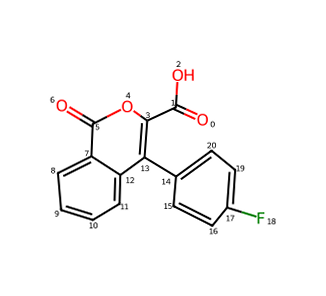 O=C(O)c1oc(=O)c2ccccc2c1-c1ccc(F)cc1